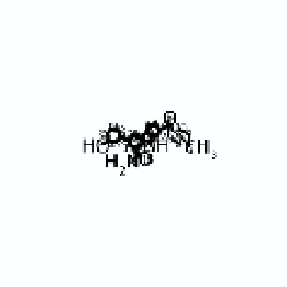 CN1CCN(C(=O)c2ccc3c(c2)[nH]c2c(C(N)=O)cc(-c4cccc(O)c4)cc23)CC1